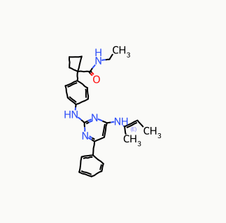 C/C=C(\C)Nc1cc(-c2ccccc2)nc(Nc2ccc(C3(C(=O)NCC)CCC3)cc2)n1